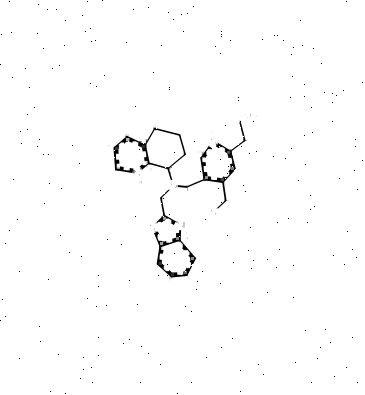 COCc1cc(CN)c(CN(Cc2nc3ccccc3[nH]2)C2CCCc3cccnc32)cn1